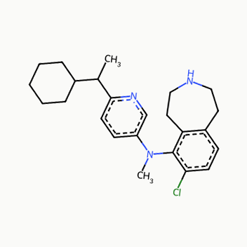 CC(c1ccc(N(C)c2c(Cl)ccc3c2CCNCC3)cn1)C1CCCCC1